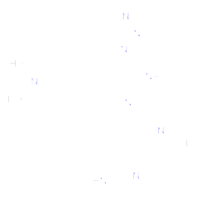 CN=S=C1NC(n2nnc3ccccc32)C(c2ccc(N(C)C)cc2)N1c1ccc2[nH]cnc2c1